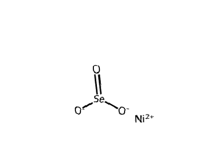 O=[Se]([O-])[O-].[Ni+2]